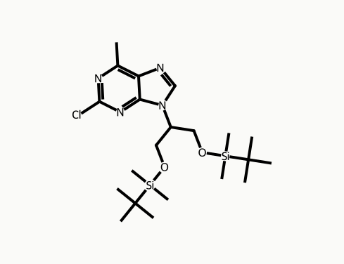 Cc1nc(Cl)nc2c1ncn2C(CO[Si](C)(C)C(C)(C)C)CO[Si](C)(C)C(C)(C)C